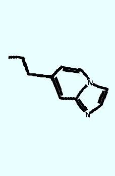 CCCc1ccn2ccnc2c1